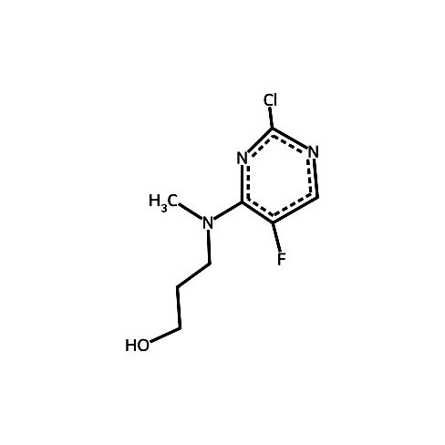 CN(CCCO)c1nc(Cl)ncc1F